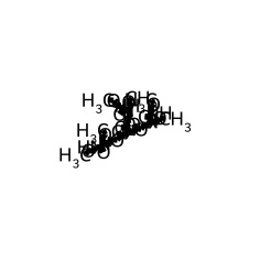 COCNC(=O)N(CCOC(=O)CC(CC(=O)OCCN(COC)C(=O)NCOC)C(=O)OCCN(COC)C(=O)NCOC)COC